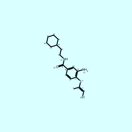 CC/C=C(\C)Sc1ccc(C(=O)NCCC2CCCCC2)cc1N